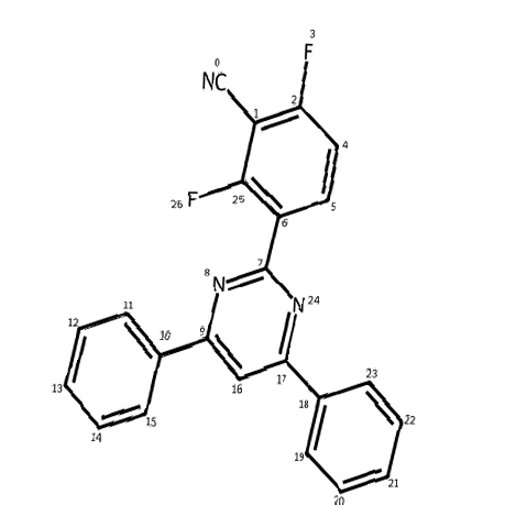 N#Cc1c(F)ccc(-c2nc(-c3ccccc3)cc(-c3ccccc3)n2)c1F